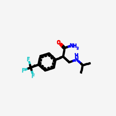 CC(C)NCC(C(N)=O)c1ccc(C(F)(F)F)cc1